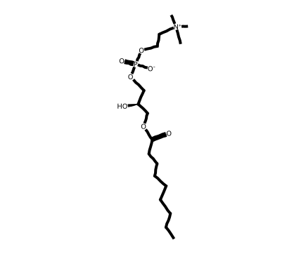 CCCCCCCCC(=O)OC[C@@H](O)COP(=O)([O-])OCC[N+](C)(C)C